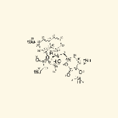 C[SiH](C)OC1C(=O)O[C@@H](C[C@](C)(O[SiH](C)C)[C@H]2CC=CC3=C[C@@H](C(C)(C)C)C[C@H](OC(=O)CC(C)(C)C)[C@@H]32)C[C@@H]1C(C)(C)C